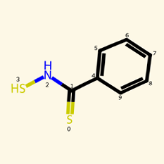 S=C(NS)c1ccccc1